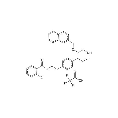 O=C(O)C(F)(F)F.O=C(OCCc1ccc(C2CCNCC2OCc2ccc3ccccc3c2)cc1)c1ccccc1Cl